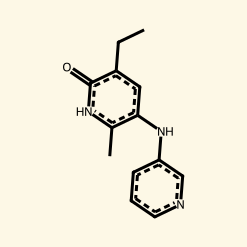 CCc1cc(Nc2cccnc2)c(C)[nH]c1=O